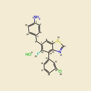 Cl.Nc1ccc(Cc2cc3scnc3c(-c3cccc(Cl)c3)c2F)cc1